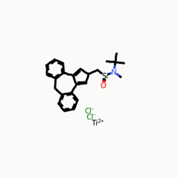 CN([Si](=O)CC1C=C2C(=C1)c1ccccc1Cc1ccccc12)C(C)(C)C.[Cl-].[Cl-].[Ti+2]